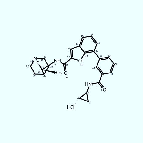 Cl.O=C(NC1CC1)c1cccc(-c2cccc3cc(C(=O)N[C@H]4CN5CCC4CC5)oc23)c1